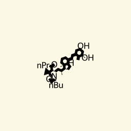 C=C1/C(=C\C=C2/CCC[C@]3(C)[C@@H]([C@H](C)CC[C@@H](C(=O)CCC)C4(c5ncc(CCCC)o5)CC4)CC[C@@H]23)C[C@@H](O)C[C@@H]1O